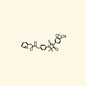 CC1(C)C(=O)N(c2ccc(C#N)c(C(F)(F)F)c2)C(=S)N1c1ccc(CNC(=O)Cc2ccccn2)cc1